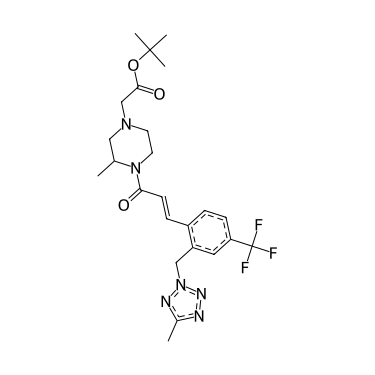 Cc1nnn(Cc2cc(C(F)(F)F)ccc2C=CC(=O)N2CCN(CC(=O)OC(C)(C)C)CC2C)n1